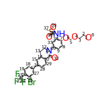 COCCOCOc1ccc(N2CCc3cc(-c4ccc(C(F)(F)F)c(Br)c4)ccc3C2=O)cc1NS(C)(=O)=O